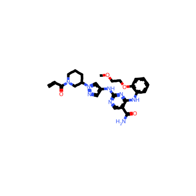 C=CC(=O)N1CCCC(n2cc(Nc3ncc(C(N)=O)c(Nc4ccccc4OCCOC)n3)cn2)C1